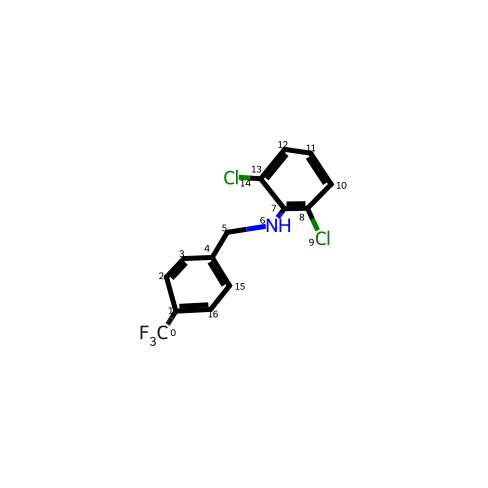 FC(F)(F)c1ccc(CNc2c(Cl)cccc2Cl)cc1